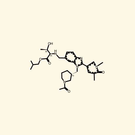 CC(=O)N1CCC[C@H](Cn2c(-c3cc(C)c(=O)n(C)c3)nc3ccc(CN[C@@H](C(=O)OCC(C)C)[C@@H](C)O)cc32)C1